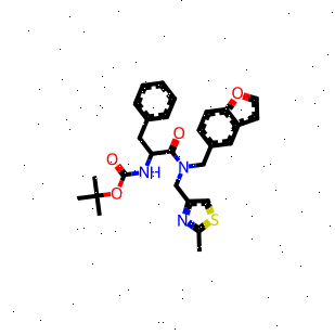 Cc1nc(CN(Cc2ccc3occc3c2)C(=O)C(Cc2ccccc2)NC(=O)OC(C)(C)C)cs1